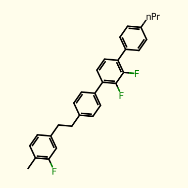 CCCc1ccc(-c2ccc(-c3ccc(CCc4ccc(C)c(F)c4)cc3)c(F)c2F)cc1